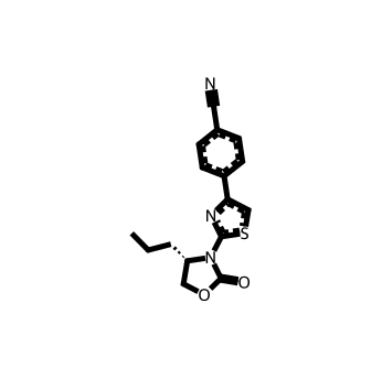 CCC[C@H]1COC(=O)N1c1nc(-c2ccc(C#N)cc2)cs1